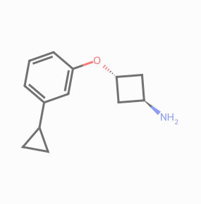 N[C@H]1C[C@H](Oc2cccc(C3CC3)c2)C1